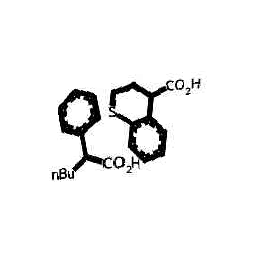 CCCCC(C(=O)O)c1ccccc1.O=C(O)C1CCSc2ccccc21